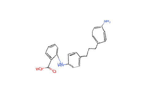 Nc1ccc(CCCc2ccc(Nc3ccccc3C(=O)O)cc2)cc1